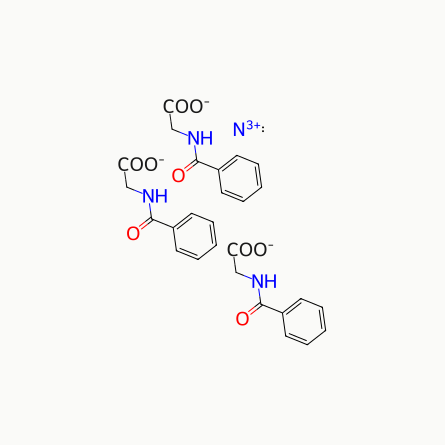 O=C([O-])CNC(=O)c1ccccc1.O=C([O-])CNC(=O)c1ccccc1.O=C([O-])CNC(=O)c1ccccc1.[N+3]